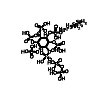 F.F.O=P(O)(O)OP(=O)(O)O.O=P(O)(O)O[C@H]1[C@H](OP(=O)(O)O)[C@@H](OP(=O)(O)O)[C@H](OP(=O)(O)O)[C@@H](OP(=O)(O)O)[C@H]1OP(=O)(O)O.[SnH2].[SnH2].[SnH2]